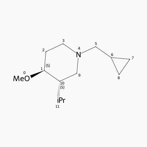 CO[C@H]1CCN(CC2CC2)C[C@@H]1C(C)C